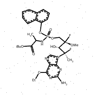 CCOc1nc(N)nc2c1ncn2[C@](C)(F)[C@H](O)[C@@](F)(COP(=O)(NC(C)C(=O)OCC(C)C)Oc1cccc2ccccc12)OC